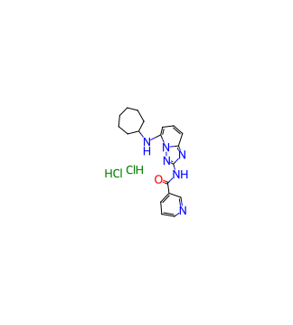 Cl.Cl.O=C(Nc1nc2cccc(NC3CCCCCC3)n2n1)c1cccnc1